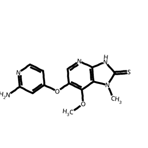 COc1c(Oc2ccnc(N)c2)cnc2[nH]c(=S)n(C)c12